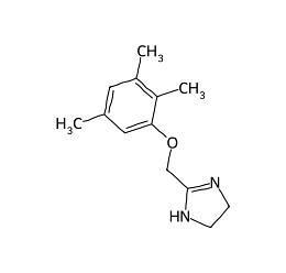 Cc1cc(C)c(C)c(OCC2=NCCN2)c1